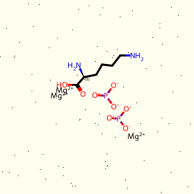 NCCCC[C@H](N)C(=O)O.[Mg+2].[Mg+2].[Mg+2].[O-]P([O-])[O-].[O-]P([O-])[O-]